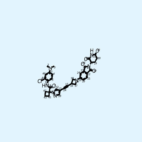 CN(C)c1ccc(NC(=O)C2(n3cc(C#CC4CN(c5ccc6c(c5)C(=O)N(C5CCC(=O)NC5=O)C6=O)C4)cn3)CCC2)c(Cl)c1